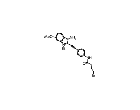 CCn1c(C#Cc2ccc(NC(=O)CCCBr)cc2)c(N)c2ccc(OC)cc21